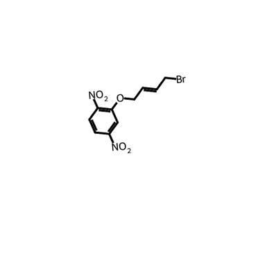 O=[N+]([O-])c1ccc([N+](=O)[O-])c(OCC=CCBr)c1